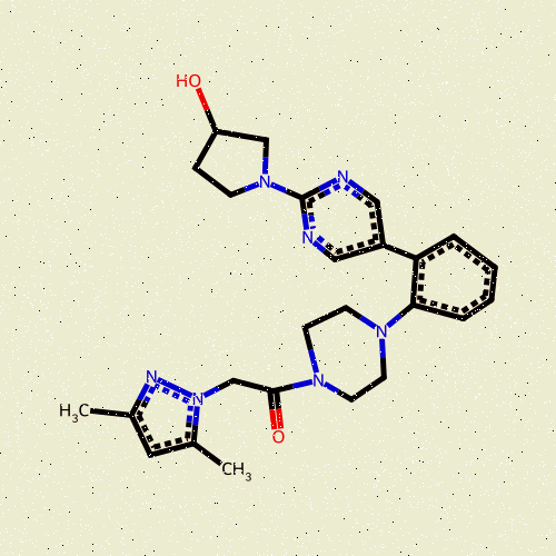 Cc1cc(C)n(CC(=O)N2CCN(c3ccccc3-c3cnc(N4CCC(O)C4)nc3)CC2)n1